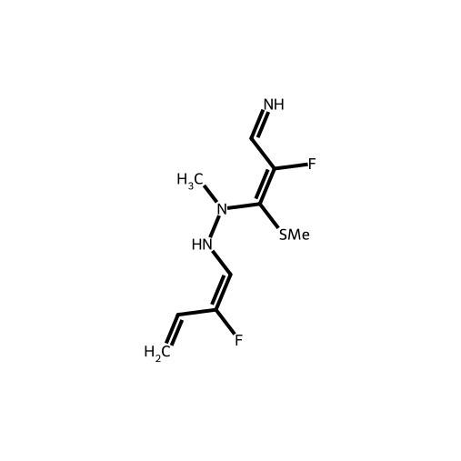 C=C/C(F)=C\NN(C)/C(SC)=C(/F)C=N